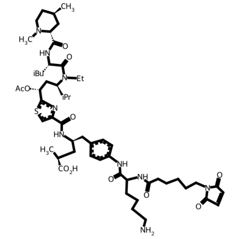 CCC(C)[C@H](NC(=O)[C@H]1C[C@H](C)CCN1C)C(=O)N(CC)[C@H](C[C@@H](OC(C)=O)c1nc(C(=O)N[C@@H](Cc2ccc(NC(=O)C(CCCCN)NC(=O)CCCCCN3C(=O)C=CC3=O)cc2)C[C@H](C)C(=O)O)cs1)C(C)C